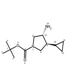 CC(C)(C)OC(=O)N1C[C@H](C2CC2)[C@@H](N)C1